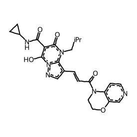 CC(C)Cn1c(=O)c(C(=O)NC2CC2)c(O)n2ncc(C=CC(=O)N3CCOc4cnccc43)c12